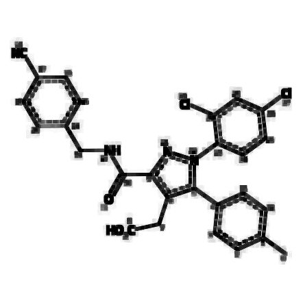 Cc1ccc(-c2c(CC(=O)O)c(C(=O)NCc3ccc(C#N)cc3)nn2-c2ccc(Cl)cc2Cl)cc1